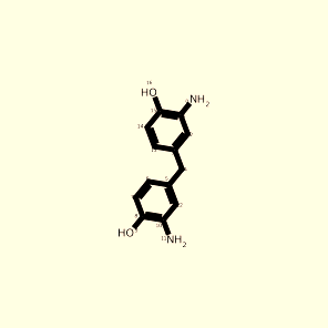 Nc1cc([CH]c2ccc(O)c(N)c2)ccc1O